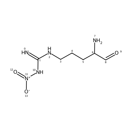 N=C(NCCCC(N)C=O)N[N+](=O)[O-]